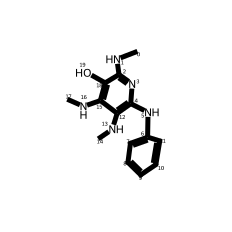 CNc1nc(Nc2ccccc2)c(NC)c(NC)c1O